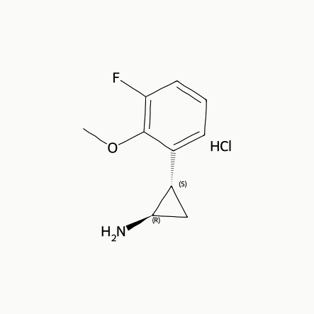 COc1c(F)cccc1[C@@H]1C[C@H]1N.Cl